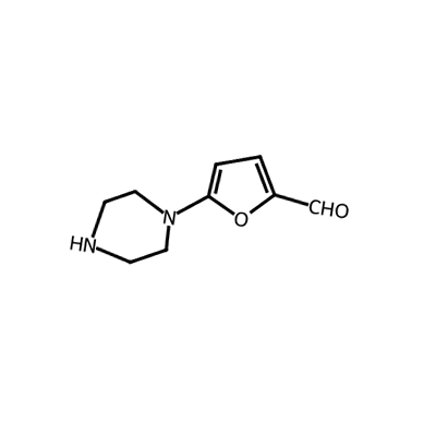 O=Cc1ccc(N2CCNCC2)o1